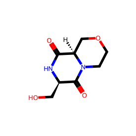 O=C1N[C@H](CO)C(=O)N2CCOC[C@H]12